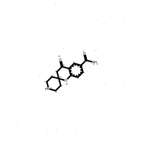 NC(=O)c1ccc2c(c1)C(=O)CC1(CCNCC1)O2